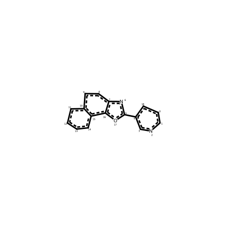 c1cncc(-c2nc3ccc4ccccc4c3o2)c1